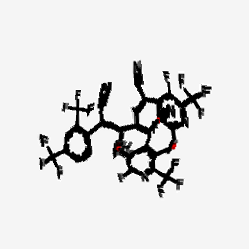 CC(=C(/C#N)c1ccc(C(F)(F)F)cc1C(F)(F)F)/C(/C=C(/C#N)c1c(F)c(F)nc(C(F)(F)F)c1F)=C(/C#N)c1c(F)c(F)nc(C(F)(F)F)c1F